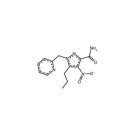 CCCc1c([N+](=O)[O-])c(C(N)=O)nn1Cc1ccccn1